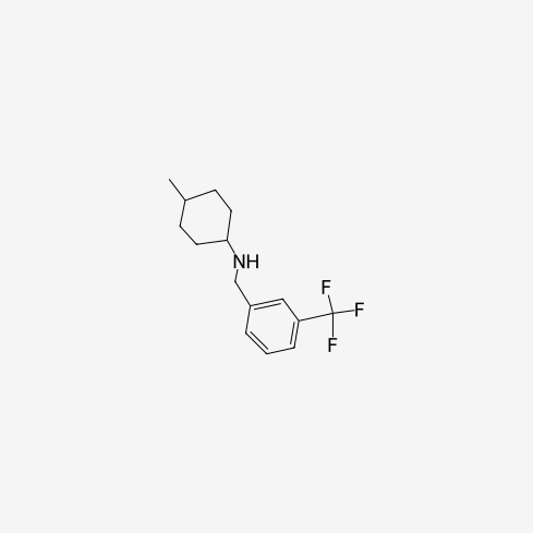 CC1CCC(NCc2cccc(C(F)(F)F)c2)CC1